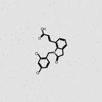 O=C(O)/C=C/c1cccc2c1N(Cc1ccc(Cl)cc1Cl)C(=O)C2